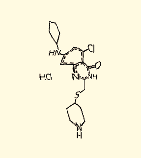 Cl.O=c1[nH]c(CSC2CCNCC2)nc2cc(NC3CCCC3)cc(Cl)c12